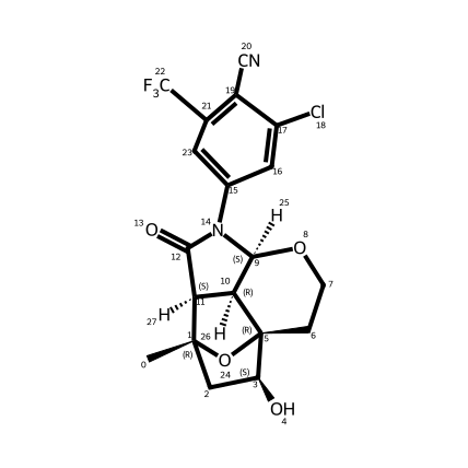 C[C@@]12C[C@H](O)[C@]3(CCO[C@H]4[C@@H]3[C@@H]1C(=O)N4c1cc(Cl)c(C#N)c(C(F)(F)F)c1)O2